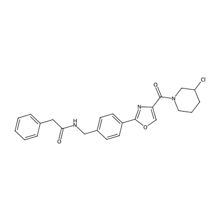 O=C(Cc1ccccc1)NCc1ccc(-c2nc(C(=O)N3CCCC(Cl)C3)co2)cc1